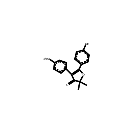 COc1ccc(C2=C(c3ccc(O)cc3)OC(C)(C)C2=O)cc1